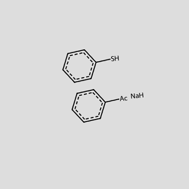 CC(=O)c1ccccc1.Sc1ccccc1.[NaH]